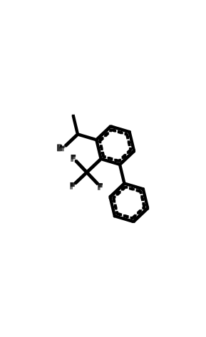 CC(Br)c1cccc(-c2ccccc2)c1C(F)(F)F